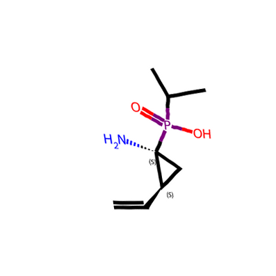 C=C[C@@H]1C[C@]1(N)P(=O)(O)C(C)C